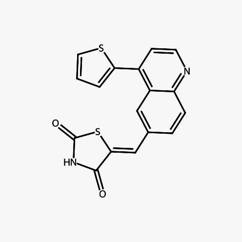 O=C1NC(=O)C(=Cc2ccc3nccc(-c4cccs4)c3c2)S1